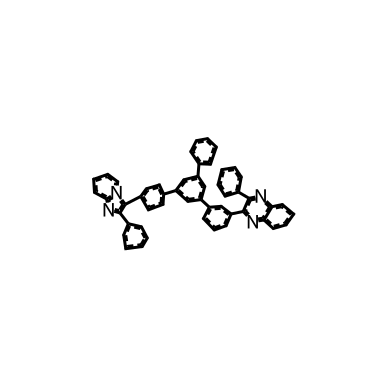 c1ccc(-c2cc(-c3ccc(-c4c(-c5ccccc5)nc5ccccn45)cc3)cc(-c3cccc(-c4nc5ccccc5nc4-c4ccccc4)c3)c2)cc1